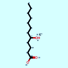 CCCCCCCC(O)CCCC(=O)[O-].[K+]